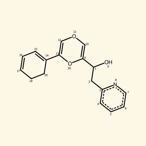 OC(Cc1ccccn1)C1=COC=C(C2=CC=CCC2)O1